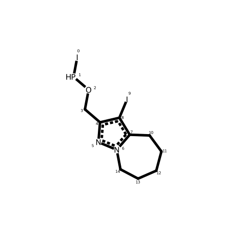 IPOCc1nn2c(c1I)CCCCC2